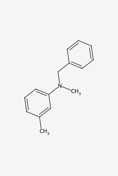 Cc1cccc(N(C)Cc2ccccc2)c1